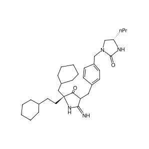 CCC[C@H]1CN(Cc2ccc(CC3C(=N)N[C@](CCC4CCCCC4)(CC4CCCCC4)C3=O)cc2)C(=O)N1